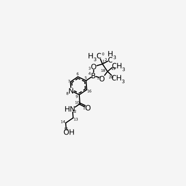 CC1(C)OB(c2ccnc(C(=O)NCCO)c2)OC1(C)C